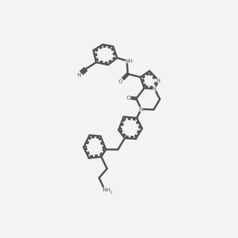 N#Cc1cccc(NC(=O)c2cnn3c2C(=O)N(c2ccc(Cc4ccccc4CCN)cc2)CC3)c1